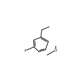 CCc1cccc(F)c1.COC